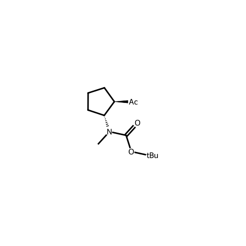 CC(=O)[C@@H]1CCC[C@H]1N(C)C(=O)OC(C)(C)C